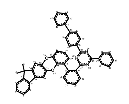 CC1(C)c2ccccc2-c2cc3c(cc21)Oc1cccc(-c2ccccc2-c2nc(-c4ccccc4)nc(-c4ccc(-c5ccccc5)cc4)n2)c1O3